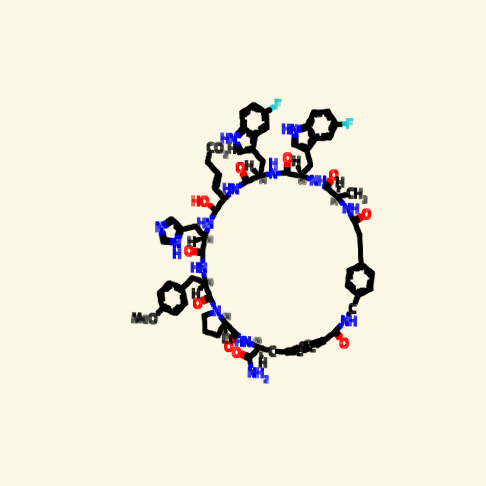 CC[C@@]12CCCN1C(=O)[C@H](Cc1ccc(OC)cc1)NC(=O)[C@H](Cc1cnc[nH]1)NC(O)C(C=CCC(=O)O)NC(=O)[C@H](Cc1c[nH]c3ccc(F)cc13)NC(=O)[C@H](Cc1c[nH]c3ccc(F)cc13)NC(=O)[C@@H](C)NC(=O)Cc1ccc(cc1)CNC(=O)c1ccc(cc1)C[C@@H](C(N)=O)NC2=O